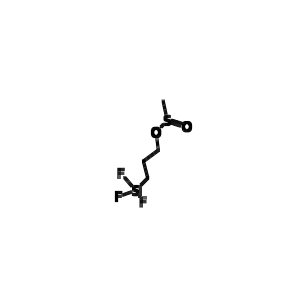 CS(=O)OCCC[Si](F)(F)F